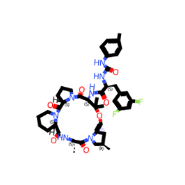 Cc1ccc(NC(=O)N[C@@H](Cc2cc(F)cc(F)c2)C(=O)N[C@@H]2C(=O)N3CCC[C@H]3C(=O)N3CCCC[C@H]3C(=O)N[C@@H](C)C(=O)N3C[C@H](C)C/C3=C/OC2(C)C)cc1